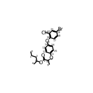 CCCC(C)OC(=O)C(C)Oc1ccc(Oc2ccc(Br)cc2Cl)cc1